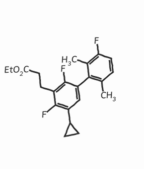 CCOC(=O)CCc1c(F)c(-c2c(C)ccc(F)c2C)cc(C2CC2)c1F